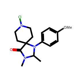 COc1ccc(N2C(C)N(C)C(=O)C23CCN(Cl)CC3)cc1